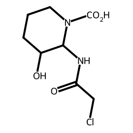 O=C(CCl)NC1C(O)CCCN1C(=O)O